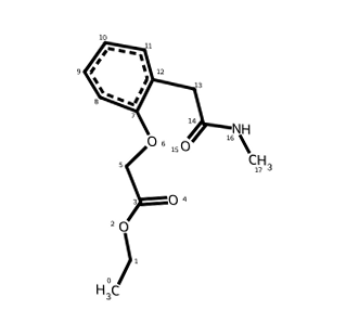 CCOC(=O)COc1ccccc1CC(=O)NC